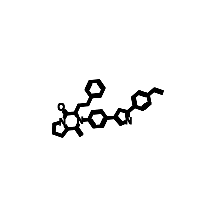 C=Cc1ccc(C2=NC=C(c3ccc(N4C(=C)C5CCCN5C(=O)C4CCc4ccccc4)cc3)C2)cc1